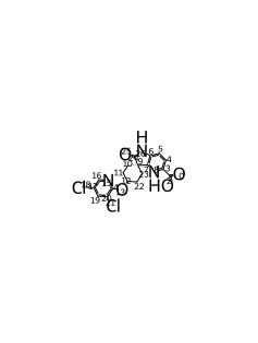 O=C(O)c1ccc2c(n1)[C@]1(CC[C@H](Oc3ncc(Cl)cc3Cl)CC1)C(=O)N2